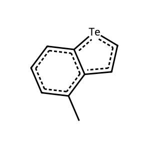 Cc1cccc2[te]ccc12